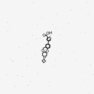 O=C(O)c1cc(-c2ccc3c(c2)COC2(CCN(C4CCC4)CC2)O3)cs1